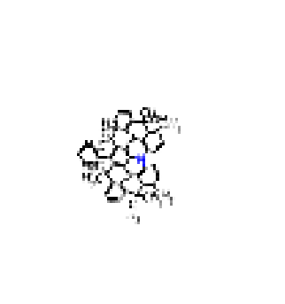 Cc1ccc2c3c1C(C)(C)c1cccc4c1B3c1c3c5c(c(-c6ccccc6)c1C4(C)C)C(C)(C)c1cccc4c1B5c1c(ccc(C)c1C4(C)C)N23